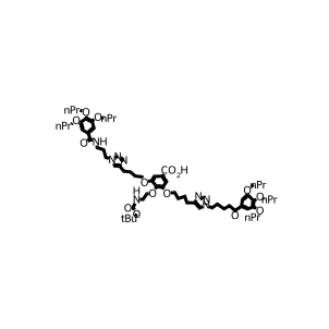 CCCOc1cc(C(=O)CCCCn2cc(CCCCOc3cc(C(=O)O)cc(OCCCCc4cn(CCCNC(=O)c5cc(OCCC)c(OCCC)c(OCCC)c5)nn4)c3OCCNC(=O)OC(C)(C)C)nn2)cc(OCCC)c1OCCC